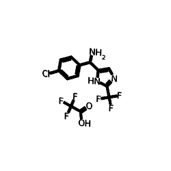 NC(c1ccc(Cl)cc1)c1cnc(C(F)(F)F)[nH]1.O=C(O)C(F)(F)F